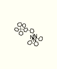 c1ccc(-c2nc(-c3cccc(-c4ccc5c(c4)Oc4ccccc4C5(c4ccccc4)c4ccccc4)c3)nc(-c3ccccc3-c3ccccc3)n2)cc1